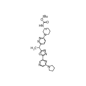 CC(c1ccc(N2CCC[C@@H](NC(=O)OC(C)(C)C)C2)nn1)c1nnc(-c2cncc(N3CCCC3)n2)o1